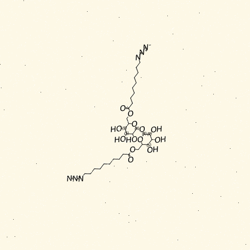 [N-]=[N+]=NCCCCCCCCCC(=O)OCC1O[C@H](O[C@H]2OC(COC(=O)CCCCCCCCCN=[N+]=[N-])[C@@H](O)[C@H](O)C2O)[C@H](O)C(O)[C@@H]1O